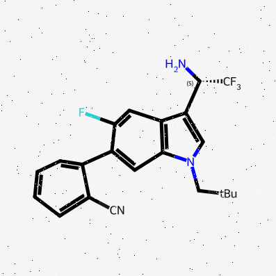 CC(C)(C)Cn1cc([C@H](N)C(F)(F)F)c2cc(F)c(-c3ccccc3C#N)cc21